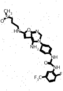 C[S+]([O-])CCCNc1cc2c(o1)=NCN(c1ccc(NC(=O)Nc3cc(C(F)(F)F)ccc3F)cc1)C=2N